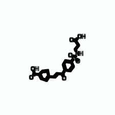 O=C(O)CCNS(=O)(=O)c1ccc(C(=O)C=Cc2ccc(C(=O)O)cc2)cc1